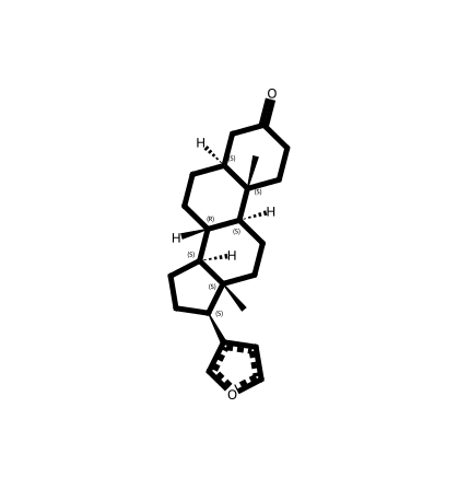 C[C@]12CCC(=O)C[C@@H]1CC[C@@H]1[C@@H]2CC[C@]2(C)[C@@H](c3ccoc3)CC[C@@H]12